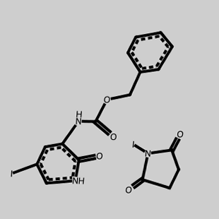 O=C(Nc1cc(I)c[nH]c1=O)OCc1ccccc1.O=C1CCC(=O)N1I